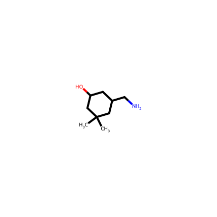 CC1(C)CC(O)CC(CN)C1